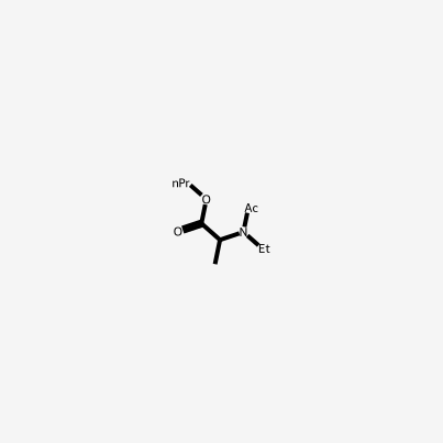 CCCOC(=O)C(C)N(CC)C(C)=O